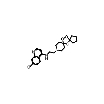 Clc1ccc2c(NCCN3CCC4(CC3)OOC3(CCCC3)O4)ccnc2c1